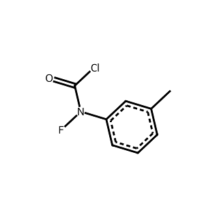 Cc1cccc(N(F)C(=O)Cl)c1